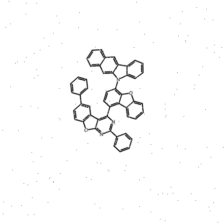 c1ccc(-c2ccc3oc4nc(-c5ccccc5)nc(-c5ccc(-n6c7ccccc7c7cc8ccccc8cc76)c6oc7ccccc7c56)c4c3c2)cc1